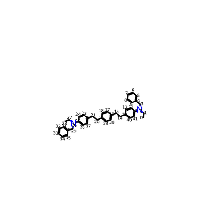 CCN(Cc1ccccc1)c1ccc(CCc2ccc(CCc3ccc(N(CC)Cc4ccccc4)cc3)cc2)cc1